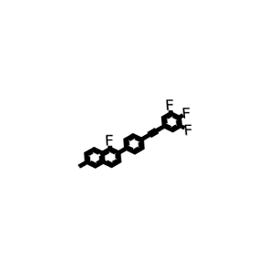 Cc1ccc2c(F)c(-c3ccc(C#Cc4cc(F)c(F)c(F)c4)cc3)ccc2c1